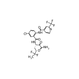 CC(F)(F)CC[C@H](NC(=O)c1cc(Cl)ccc1NC(=O)c1ccnc(C(F)(F)F)c1)C(=O)C(N)=O